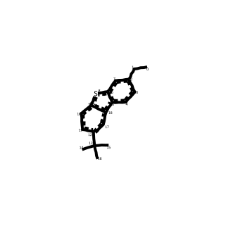 CCc1ccc2c(c1)sc1ccc(C(C)(C)C)cc12